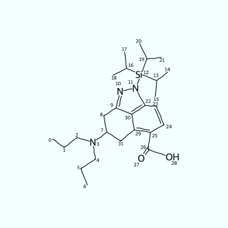 CCCN(CCC)C1Cc2nn([Si](C(C)C)(C(C)C)C(C)C)c3ccc(C(=O)O)c(c23)C1